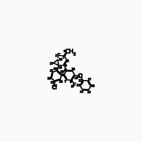 C=C(F)C=C(c1ccc(F)c(Oc2ccccc2)c1)C1(c2ccc(Cl)cc2)CC1